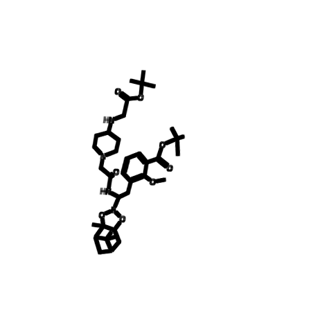 COc1c(CC(NC(=O)CN2CCC(NCC(=O)OC(C)(C)C)CC2)B2OC3CC4CC(C4(C)C)C3(C)O2)cccc1C(=O)OC(C)(C)C